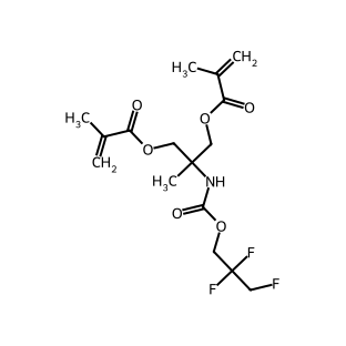 C=C(C)C(=O)OCC(C)(COC(=O)C(=C)C)NC(=O)OCC(F)(F)CF